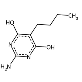 CCCCc1c(O)nc(N)nc1O